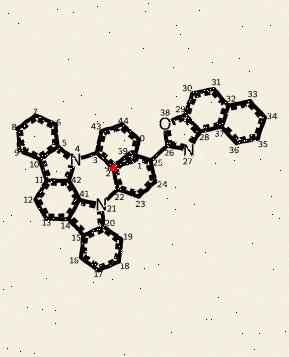 c1ccc(-n2c3ccccc3c3ccc4c5ccccc5n(-c5ccc(-c6nc7c(ccc8ccccc87)o6)cc5)c4c32)cc1